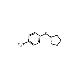 O=[N+]([O-])c1ccc(SN2CCCC2)cc1